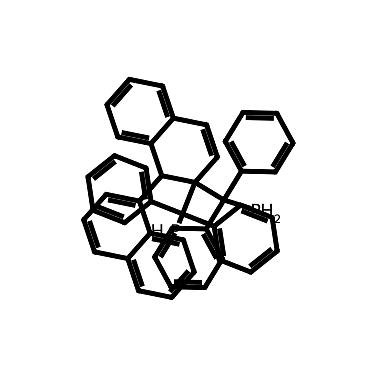 PC(c1ccccc1)(c1ccccc1)C1(C(P)(c2ccccc2)c2ccccc2)C=Cc2ccccc2C1c1cccc2ccccc12